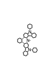 CN1c2cc3c(cc2-c2ccccc2-c2ccc4c(c21)c1ccccc1n4-c1ccccc1)c1ccccc1n3-c1ccccc1